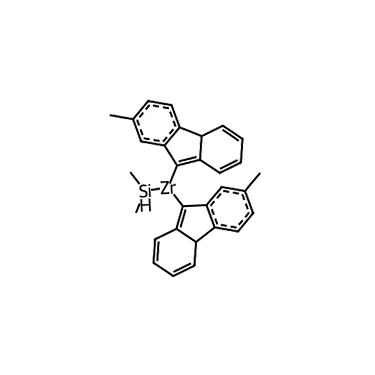 Cc1ccc2c(c1)[C]([Zr]([C]1=C3C=CC=CC3c3ccc(C)cc31)[SiH](C)C)=C1C=CC=CC12